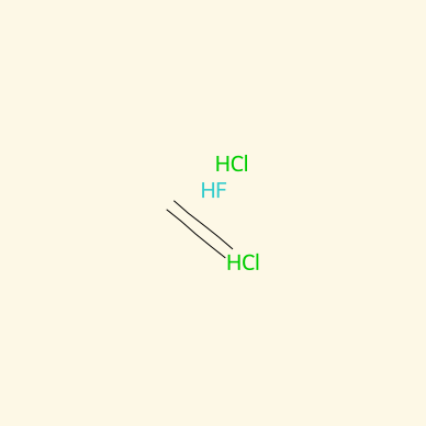 C=C.Cl.Cl.F